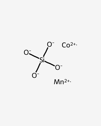 [Co+2].[Mn+2].[O-][Si]([O-])([O-])[O-]